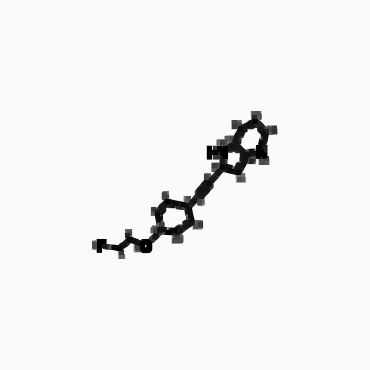 FCCOc1ccc(C#Cc2cc3ncccc3[nH]2)cc1